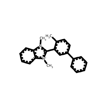 Cc1ccc(-c2ccccc2)cc1-c1n(C)c2ccccc2[n+]1C